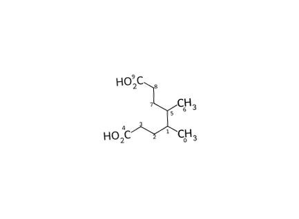 CC(CCC(=O)O)C(C)CCC(=O)O